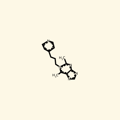 Cc1nc2ncnc-2c(C)n1CCCc1ccncc1